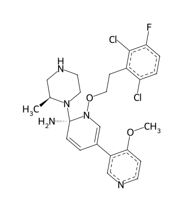 COc1ccncc1C1=CN(OCCc2c(Cl)ccc(F)c2Cl)[C@](N)(N2CCNC[C@@H]2C)C=C1